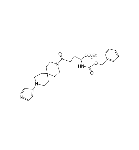 CCOC(=O)C(CCC(=O)N1CCC2(CC1)CCN(c1ccncc1)CC2)NC(=O)OCc1ccccc1